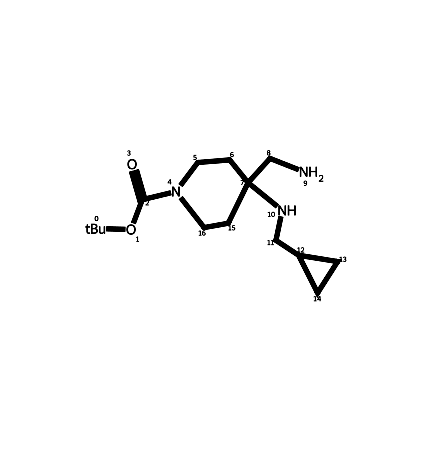 CC(C)(C)OC(=O)N1CCC(CN)(NCC2CC2)CC1